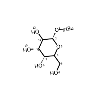 CC(C)(C)O[C@@H]1OC(CO)[C@H](O)[C@H](O)C1O